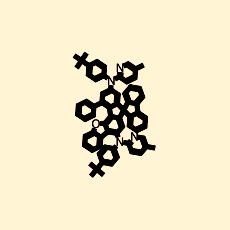 Cc1ccc(N(c2ccc(C(C)(C)C)cc2)c2cc(-c3ccccc3)c3c(c2)C2(c4ccccc4-c4ccccc42)c2cc(N(c4ccc(C(C)(C)C)cc4)c4ccc(C)cn4)c4c(oc5ccccc54)c2-3)nc1